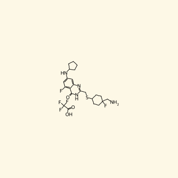 NCC1(F)CCC(SCc2nc3cc(NC4CCCC4)cc(F)c3c(=O)[nH]2)CC1.O=C(O)C(F)(F)F